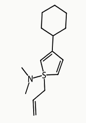 C=CCS1(N(C)C)C=CC(C2CCCCC2)=C1